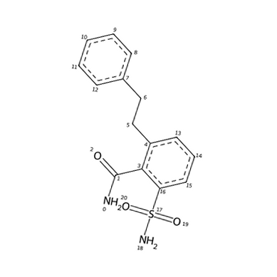 NC(=O)c1c(CCc2ccccc2)cccc1S(N)(=O)=O